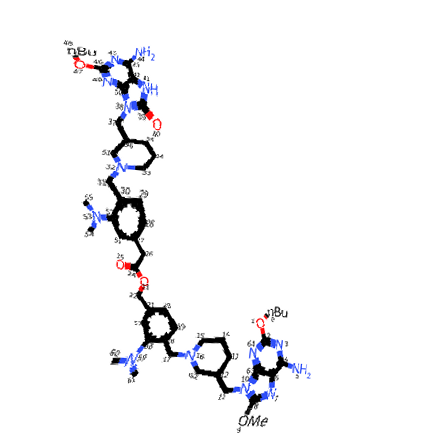 CCCCOc1nc(N)c2nc(OC)n(CC3CCCN(Cc4ccc(COC(=O)Cc5ccc(CN6CCCC(Cn7c(=O)[nH]c8c(N)nc(OCCCC)nc87)C6)c(N(C)C)c5)cc4N(C)C)C3)c2n1